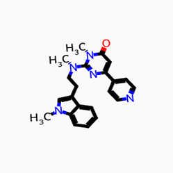 CN(CCc1cn(C)c2ccccc12)c1nc(-c2ccncc2)cc(=O)n1C